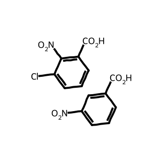 O=C(O)c1cccc(Cl)c1[N+](=O)[O-].O=C(O)c1cccc([N+](=O)[O-])c1